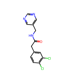 O=C(Cc1ccc(Cl)c(Cl)c1)NCc1cncnc1